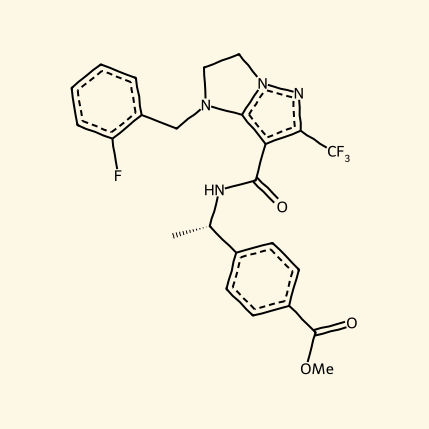 COC(=O)c1ccc([C@H](C)NC(=O)c2c(C(F)(F)F)nn3c2N(Cc2ccccc2F)CC3)cc1